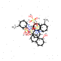 Cc1ccc2c(NC(=O)Nc3c4ccc(C)c3S(=O)(=O)N4c3c(S(=O)(=O)O)ccc4cccc(O)c34)c1S(=O)(=O)N2c1c(S(=O)(=O)O)ccc2cccc(O)c12